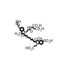 CC1(C)C(/C=C/C=C/C=C/C=C2/N(CCC(=O)O)c3ccc(S(=O)(=O)O)cc3C2(C)C)=[N+](CCC(=O)N[C@@H](CC(=O)O)C(=O)O)c2ccc(SOOO)cc21